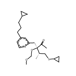 COCO[C@@](Cc1cc(CCCC2CC2)ccn1)(C(C)=O)[C@@H](C)CSC1CC1